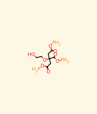 O=C(CC(CC(=O)OP)(OCCO)C(=O)OP)OP